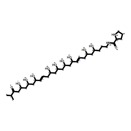 CC(C)C(=O)CC(O)CC(O)CC(O)/C=C/CC(O)CC(O)CC(O)CC(O)/C=C/CC(O)CC(O)CCCNC(=O)C1CCCN1